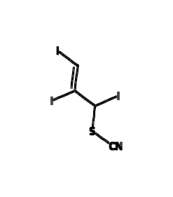 N#CSC(I)C(I)=CI